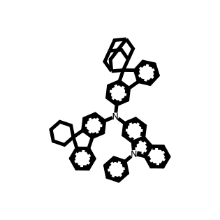 c1ccc(-n2c3ccccc3c3ccc(N(c4ccc5c(c4)-c4ccccc4C54CCCCC4)c4ccc5c(c4)-c4ccccc4C54C5CC6CC(C5)CC4C6)cc32)cc1